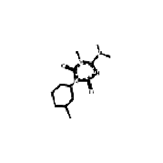 CC1CCCC(n2c(=O)nc(N(C)C)n(C)c2=O)C1